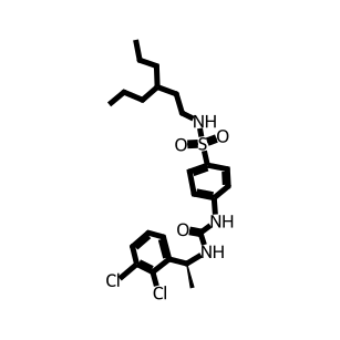 CCCC(CCC)CCNS(=O)(=O)c1ccc(NC(=O)N[C@@H](C)c2cccc(Cl)c2Cl)cc1